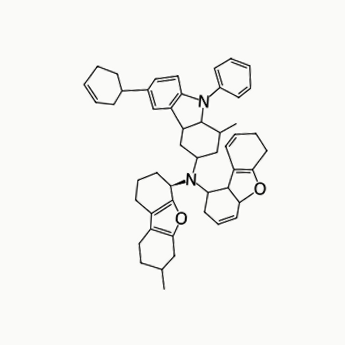 CC1CCc2c(oc3c2CCC[C@H]3N(C2CC(C)C3C(C2)c2cc(C4CC=CCC4)ccc2N3c2ccccc2)C2CC=CC3OC4=C(C=CCC4)C32)C1